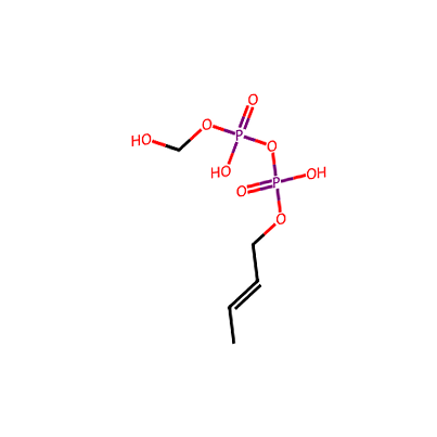 CC=CCOP(=O)(O)OP(=O)(O)OCO